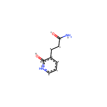 NC(=O)CCc1ccc[nH]c1=O